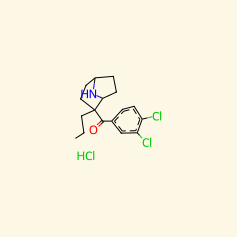 CCCC1(C(=O)c2ccc(Cl)c(Cl)c2)CCC2CCC1N2.Cl